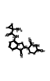 NC1(C(=O)Nc2cccc3c2CN(C2CCC(=O)NC2=O)C3=O)CC1